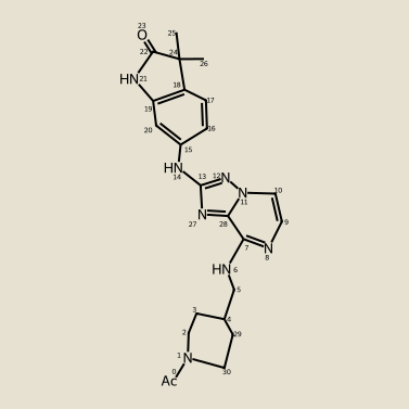 CC(=O)N1CCC(CNc2nccn3nc(Nc4ccc5c(c4)NC(=O)C5(C)C)nc23)CC1